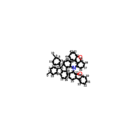 Cc1ccc(C2(c3ccc(C)cc3)c3ccccc3-c3c(N(c4cccc5c4oc4ccccc45)c4cccc5oc6ccccc6c45)cccc32)cc1